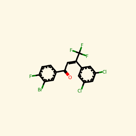 O=C(/C=C(\c1cc(Cl)cc(Cl)c1)C(F)(F)F)c1ccc(F)c(Br)c1